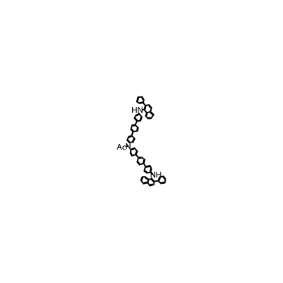 CC(=O)N(c1ccc(-c2ccc(-c3ccc(Nc4c(-c5ccccc5)ccc5ccccc45)cc3)cc2)cc1)c1ccc(-c2ccc(-c3ccc(Nc4c(-c5ccccc5)ccc5ccccc45)cc3)cc2)cc1